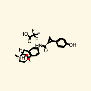 CN1CC[C@]23CCCC[C@H]2[C@H]1Cc1cc(NC(=O)[C@@H]2CC2c2ccc(O)cc2)ccc13.O=C(O)C(F)(F)F